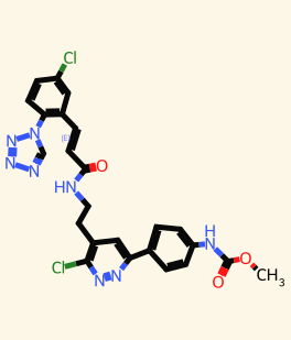 COC(=O)Nc1ccc(-c2cc(CCNC(=O)/C=C/c3cc(Cl)ccc3-n3cnnn3)c(Cl)nn2)cc1